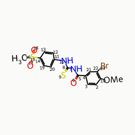 COc1ccc(C(=O)NC(=S)Nc2ccc(S(C)(=O)=O)cc2)cc1Br